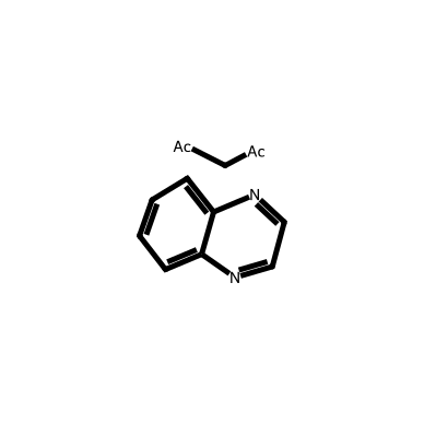 CC(=O)CC(C)=O.c1ccc2nccnc2c1